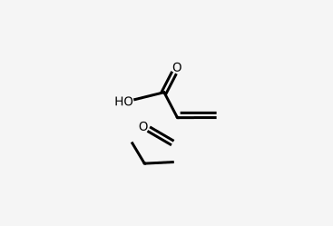 C=CC(=O)O.C=O.CCC